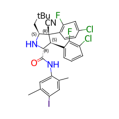 Cc1cc(NC(=O)[C@@H]2N[C@@H](CC(C)(C)C)[C@](C#N)(c3ccc(Cl)cc3F)[C@H]2c2cccc(Cl)c2F)c(C)cc1I